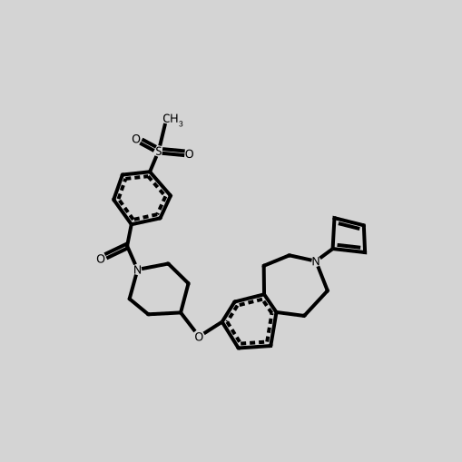 CS(=O)(=O)c1ccc(C(=O)N2CCC(Oc3ccc4c(c3)CCN(C3=CC=C3)CC4)CC2)cc1